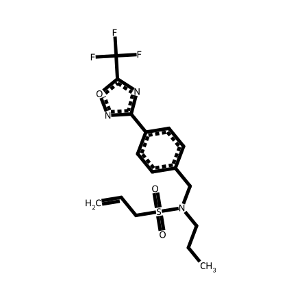 C=CCS(=O)(=O)N(CCC)Cc1ccc(-c2noc(C(F)(F)F)n2)cc1